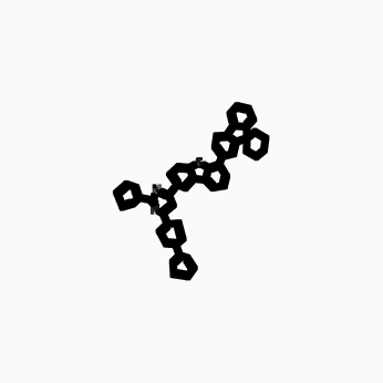 c1ccc(-c2ccc(-c3cc(-c4ccc5sc6c(-c7ccc8c(c7)C7(CCCCC7)c7ccccc7-8)cccc6c5c4)nc(-c4ccccc4)n3)cc2)cc1